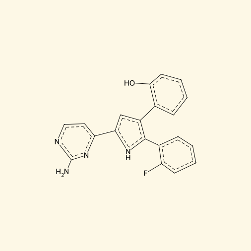 Nc1nccc(-c2cc(-c3ccccc3O)c(-c3ccccc3F)[nH]2)n1